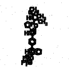 COC(=O)N[C@H](C(=O)N1CCC[C@H]1c1ncc(-c2ccc(-c3ccc(OS(=O)(=O)C(F)(F)F)c4c3C3CCC4C3C)cc2)[nH]1)C(C)C